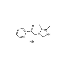 Br.CC1=C(C)N(CC(=O)c2ccccn2)CN1